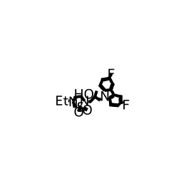 CCN1CCN(CC(C)(O)Cn2c3ccc(F)cc3c3cc(F)ccc32)S(=O)(=O)C1